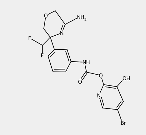 NC1=NC(c2cccc(NC(=O)Oc3ncc(Br)cc3O)c2)(C(F)F)COC1